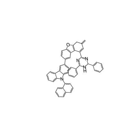 C=C1C=C(C2=NC(c3ccccc3)NC(c3ccccc3)=N2)c2c(oc3ccc(-c4ccc5c(c4)c4ccccc4n5-c4cccc5ccccc45)cc23)C1